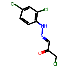 O=C(C=NNc1ccc(Cl)cc1Cl)CCl